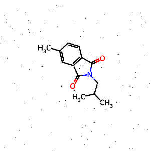 Cc1ccc2c(c1)C(=O)N(CC(C)C)C2=O